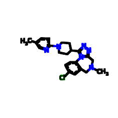 Cc1ccc(N2CCC(c3nnc4n3-c3ccc(Cl)cc3CN(C)C4)CC2)nc1